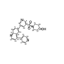 O=S(=O)(c1cncc(-c2ccc3nccc(-c4ccncc4)c3c2)c1)N1CCC(O)CC1